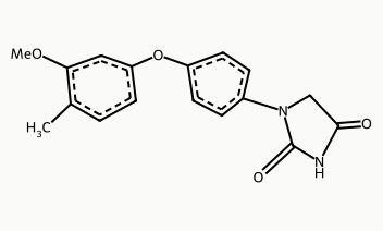 COc1cc(Oc2ccc(N3CC(=O)NC3=O)cc2)ccc1C